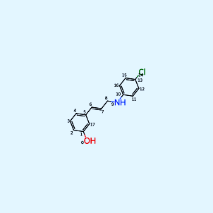 Oc1cccc(C=CCNc2ccc(Cl)cc2)c1